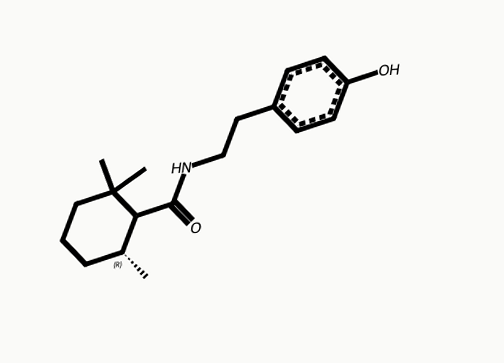 C[C@@H]1CCCC(C)(C)C1C(=O)NCCc1ccc(O)cc1